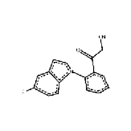 N#CCC(=O)c1ccccc1-n1ccc2cc(Cl)ccc21